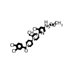 CC[C@H]1CN(c2ncc(NSOOC)cc2Cl)CCN1C1CCN(C(=O)c2ccc(Cl)c(Cl)c2)CC1